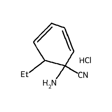 CCC1C=CC=CC1(N)C#N.Cl